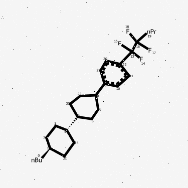 CCCC[C@H]1CC[C@H](C2CCC(c3ccc(C(F)(F)C(F)(F)CCC)cc3)CC2)CC1